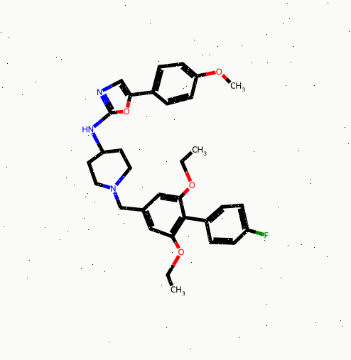 CCOc1cc(CN2CCC(Nc3ncc(-c4ccc(OC)cc4)o3)CC2)cc(OCC)c1-c1ccc(F)cc1